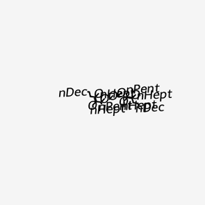 CCCCCCCCCCCCC(OCCCCCCC)=C(OCCCCCCC)C(CCCCC)OCOCOC(CCCCC)C(OCCCCCCC)=C(CCCCCCCCCCCC)OCCCCCCC